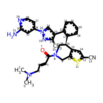 CN(C)C/C=C/C(=O)N1Cc2sc(C#N)cc2[C@H](c2ccccc2-c2cn(-c3ccnc(N)c3)nc2C(F)(F)F)C1